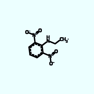 [CH2]CNc1c([N+](=O)[O-])cccc1[N+](=O)[O-]